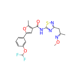 CON=C(C)Cc1nsc(NC(=O)c2cc(-c3cccc(OC(F)F)c3)oc2C)n1